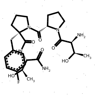 C[C@@H](O)[C@H](N)C(=O)N1CCC[C@H]1C(=O)N1CCC[C@]1(Cc1ccc(F)cc1)C(=O)N[C@H](C(N)=O)[C@@H](C)O